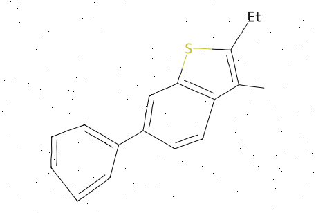 CCc1sc2cc(-c3ccccc3)ccc2c1C